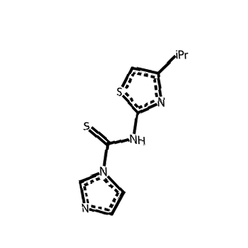 CC(C)c1csc(NC(=S)n2ccnc2)n1